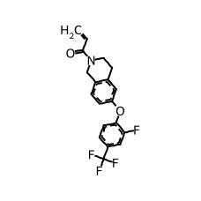 C=CC(=O)N1CCc2cc(Oc3ccc(C(F)(F)F)cc3F)ccc2C1